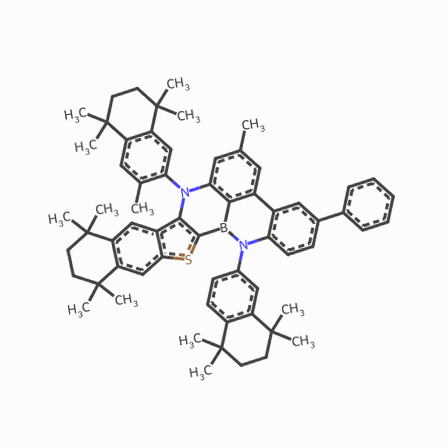 Cc1cc2c3c(c1)N(c1cc4c(cc1C)C(C)(C)CCC4(C)C)c1c(sc4cc5c(cc14)C(C)(C)CCC5(C)C)B3N(c1ccc3c(c1)C(C)(C)CCC3(C)C)c1ccc(-c3ccccc3)cc1-2